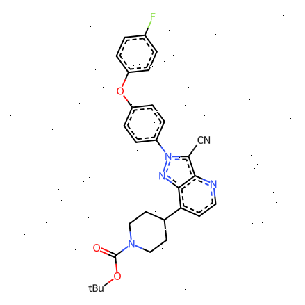 CC(C)(C)OC(=O)N1CCC(c2ccnc3c(C#N)n(-c4ccc(Oc5ccc(F)cc5)cc4)nc23)CC1